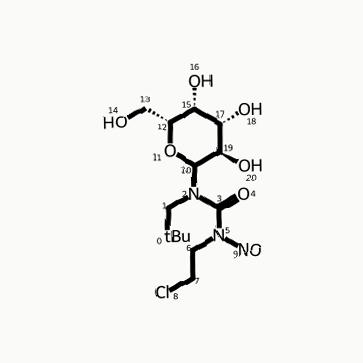 CC(C)(C)CN(C(=O)N(CCCl)N=O)C1O[C@H](CO)[C@H](O)[C@H](O)[C@H]1O